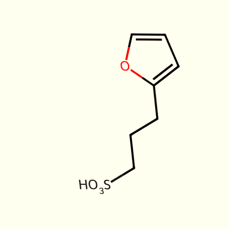 O=S(=O)(O)CCCc1ccco1